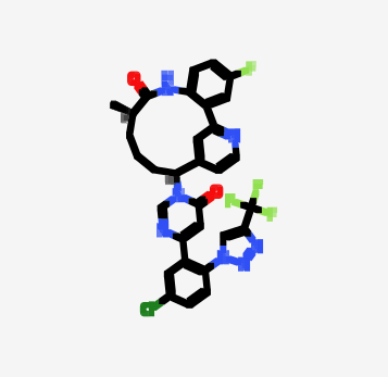 C[C@@H]1CCC[C@H](n2cnc(-c3cc(Cl)ccc3-n3cc(C(F)(F)F)nn3)cc2=O)c2ccnc(c2)-c2cc(F)ccc2NC1=O